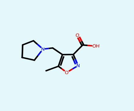 Cc1onc(C(=O)O)c1CN1CCCC1